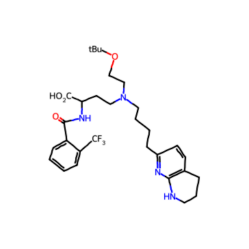 CC(C)(C)OCCN(CCCCc1ccc2c(n1)NCCC2)CCC(NC(=O)c1ccccc1C(F)(F)F)C(=O)O